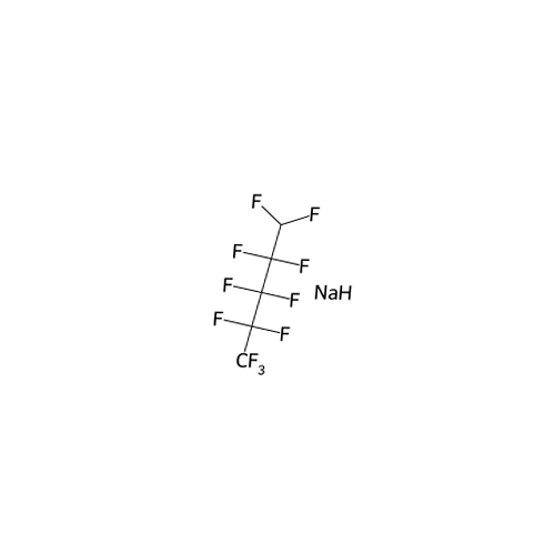 FC(F)C(F)(F)C(F)(F)C(F)(F)C(F)(F)F.[NaH]